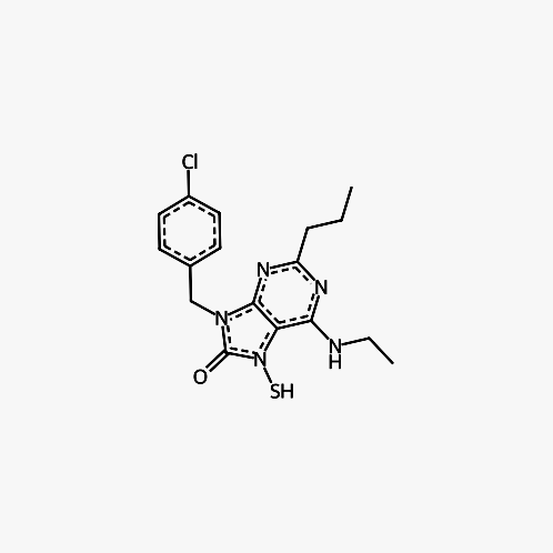 CCCc1nc(NCC)c2c(n1)n(Cc1ccc(Cl)cc1)c(=O)n2S